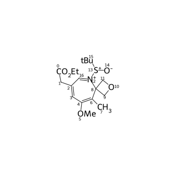 CCOC(=O)CC1=CC(OC)=C(C)C2(COC2)[N+]([S+]([O-])C(C)(C)C)=C1